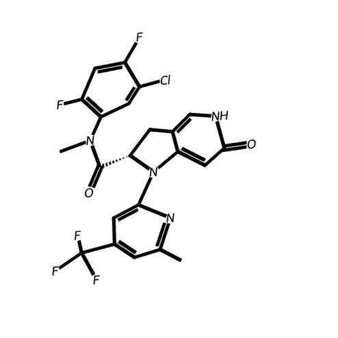 Cc1cc(C(F)(F)F)cc(N2c3cc(=O)[nH]cc3C[C@H]2C(=O)N(C)c2cc(Cl)c(F)cc2F)n1